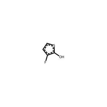 Oc1sccc1F